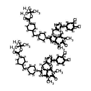 Cn1c(=O)c2c(nc(N3CCN(CC4CCN(C(=O)OC(C)(C)C)CC4)CC3)n2Cc2nnc(-c3ccc(Cl)c(Cl)c3)o2)n(C)c1=O.Cn1c(=O)c2c(nc(N3CCN(CC4CCN(C(=O)OC(C)(C)C)CC4)CC3)n2Cc2nnc(-c3ccc(Cl)c(Cl)c3)o2)n(C)c1=O